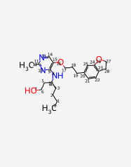 CCCC[C@@H](CCO)Nc1nc(C)ncc1OCCCc1ccc2c(c1)OCC2